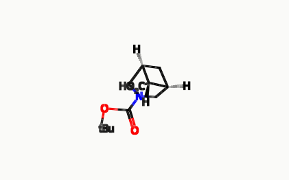 CC(C)(C)OC(=O)N1C[C@H]2C[C@@H](C1)[C@@H]2C(=O)O